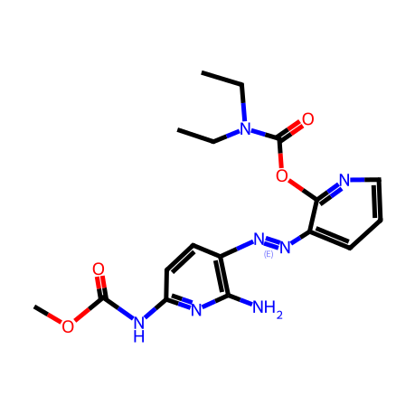 CCN(CC)C(=O)Oc1ncccc1/N=N/c1ccc(NC(=O)OC)nc1N